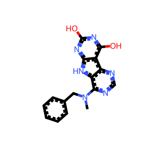 CN(Cc1ccccc1)c1ncnc2c1[nH]c1nc(O)nc(O)c12